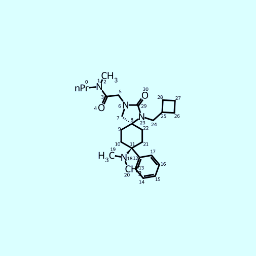 CCCN(C)C(=O)CN1C[C@]2(CC[C@](c3ccccc3)(N(C)C)CC2)N(CC2CCC2)C1=O